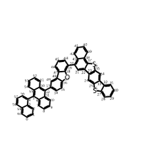 c1ccc2c(-c3c4ccccc4c(-c4ccc5oc6c(-c7cc8c9cc%10sc%11ccccc%11c%10cc9sc8c8ccccc78)cccc6c5c4)c4ccccc34)cccc2c1